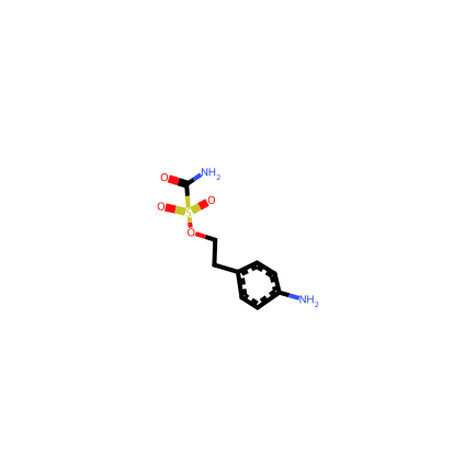 NC(=O)S(=O)(=O)OCCc1ccc(N)cc1